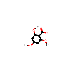 CCOc1cc(OCC)c(C([O])=O)c(OCC)c1